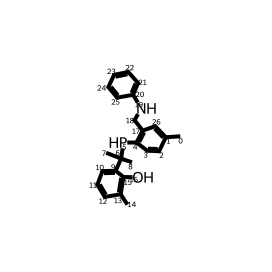 Cc1ccc(PC(C)(C)c2cccc(C)c2O)c(CNc2ccccc2)c1